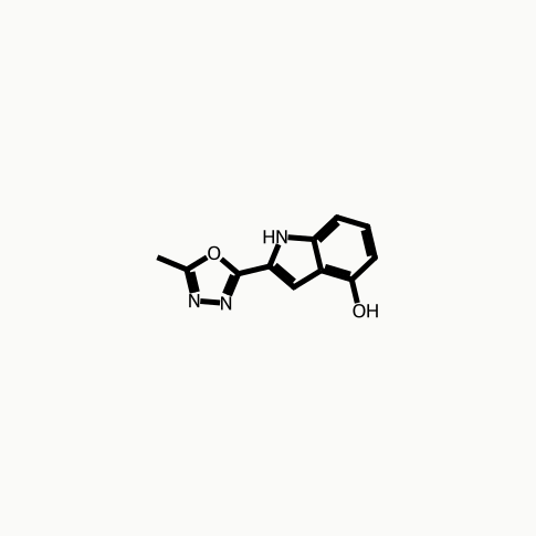 Cc1nnc(-c2cc3c(O)cccc3[nH]2)o1